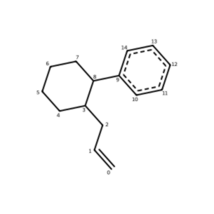 C=CCC1CCCCC1c1ccccc1